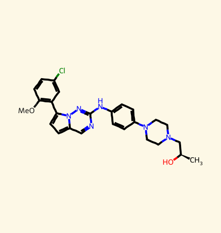 COc1ccc(Cl)cc1-c1ccc2cnc(Nc3ccc(N4CCN(C[C@@H](C)O)CC4)cc3)nn12